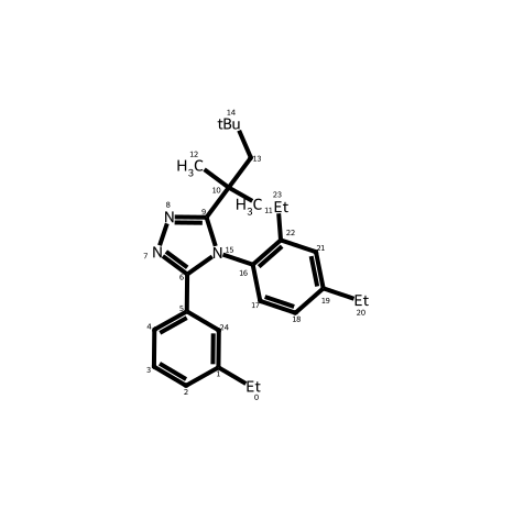 CCc1cccc(-c2nnc(C(C)(C)CC(C)(C)C)n2-c2ccc(CC)cc2CC)c1